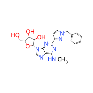 CNc1nc(-c2ccn(Cc3ccccc3)n2)nc2c1ncn2[C@@H]1O[C@H](CO)[C@@H](O)[C@H]1O